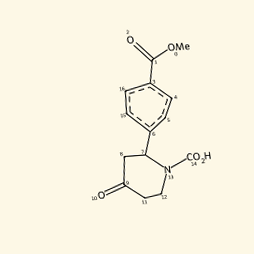 COC(=O)c1ccc(C2CC(=O)CCN2C(=O)O)cc1